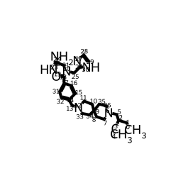 CCC(CC)CN1CCC2(CCN(Cc3ccc(C(=O)N(CC(=N)N)Cc4ncc[nH]4)cc3)CC2)CC1